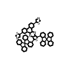 c1ccc2c(c1)-c1ccccc1C21c2ccccc2-c2c(-c3sc(-c4cccc5c4-c4ccccc4C54c5ccccc5-c5ccccc54)c4nc5c6cc(-c7cncs7)ccc6c6ccc(-c7cncs7)cc6c5nc34)cccc21